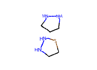 C1CNNC1.C1CSNN1